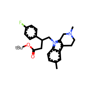 Cc1ccc2c(c1)c1c(n2CC(CC(=O)OC(C)(C)C)c2ccc(F)cc2)CN(C)CC1